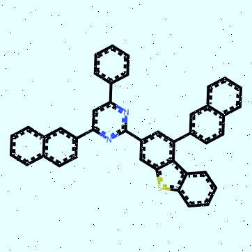 c1ccc(-c2cc(-c3ccc4ccccc4c3)nc(-c3cc(-c4ccc5ccccc5c4)c4c(c3)sc3ccccc34)n2)cc1